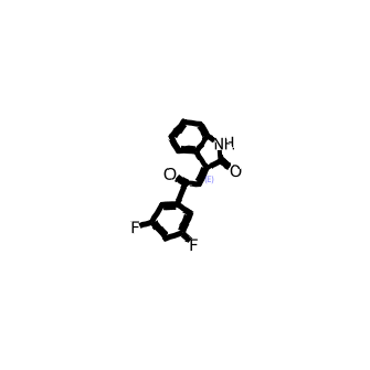 O=C1Nc2ccccc2/C1=C\C(=O)c1cc(F)cc(F)c1